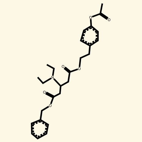 CCN(CC)C(CC(=O)OCCc1ccc(OC(C)=O)cc1)CC(=O)OCc1ccccc1